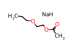 CCCOCCOC(C)=O.[NaH]